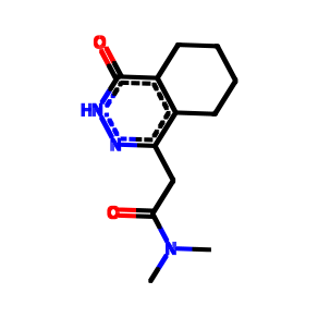 CN(C)C(=O)Cc1n[nH]c(=O)c2c1CCCC2